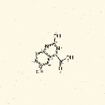 O=C(O)c1nc(O)nc2ccc(Cl)cc12